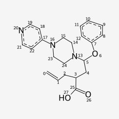 C=CCC(CC(Oc1ccccc1)N1CCN(c2ccncc2)CC1)C(=O)O